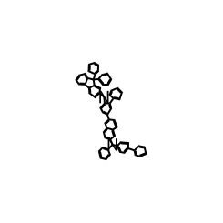 c1ccc(-c2ccc(N(c3ccccc3)c3ccc4cc(-c5ccc6c(c5)c5ccccc5n6-c5ccc6c(c5)C(c5ccccc5)(c5ccccc5)c5ccccc5-6)ccc4c3)cc2)cc1